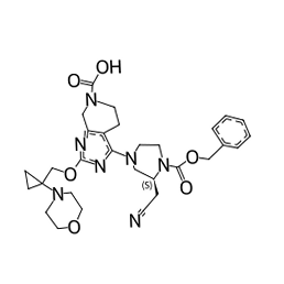 N#CC[C@H]1CN(c2nc(OCC3(N4CCOCC4)CC3)nc3c2CCN(C(=O)O)C3)CCN1C(=O)OCc1ccccc1